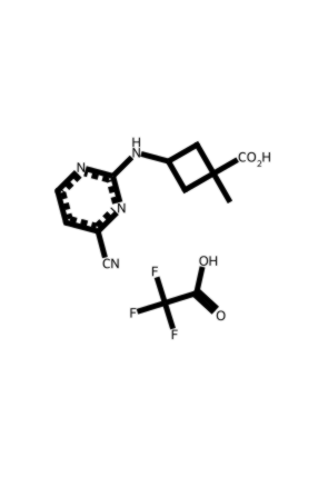 CC1(C(=O)O)CC(Nc2nccc(C#N)n2)C1.O=C(O)C(F)(F)F